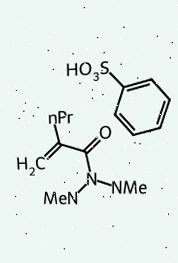 C=C(CCC)C(=O)N(NC)NC.O=S(=O)(O)c1ccccc1